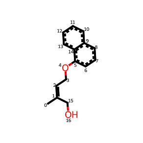 CC(=CCOc1cccc2ccccc12)CO